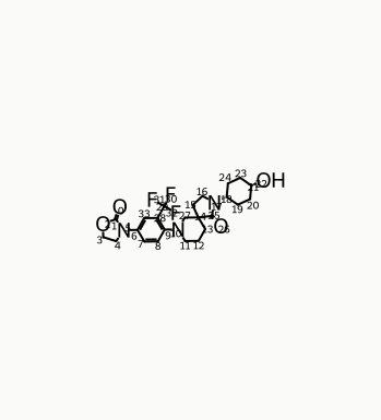 O=C1OCCN1c1ccc(N2CCCC3(CCN([C@H]4CC[C@H](O)CC4)C3=O)C2)c(C(F)(F)F)c1